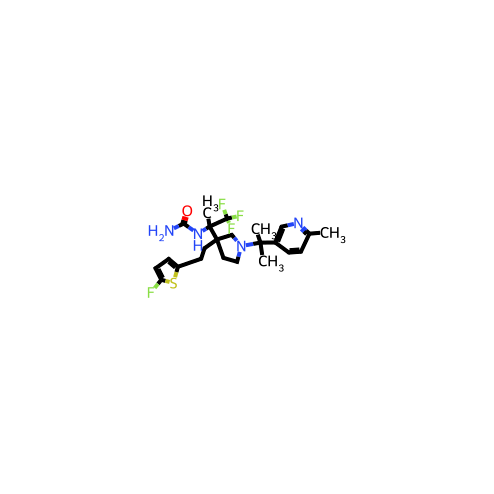 Cc1ccc(C(C)(C)N2CCC(CCc3ccc(F)s3)(C(C)(NC(N)=O)C(F)(F)F)C2)cn1